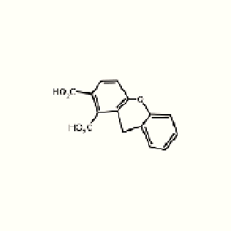 O=C(O)c1ccc2c(c1C(=O)O)Cc1ccccc1O2